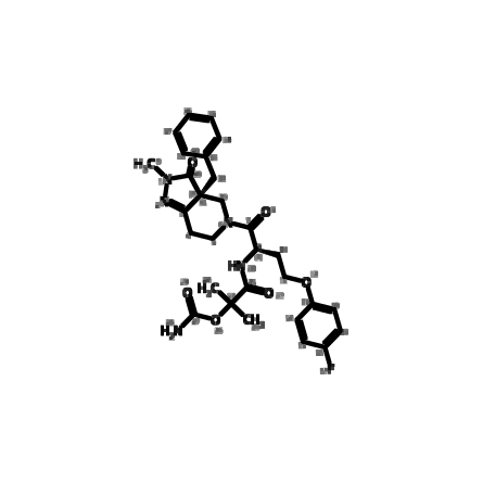 CN1N=C2CCN(C(=O)[C@@H](CCOc3ccc(F)cc3)NC(=O)C(C)(C)OC(N)=O)C[C@@]2(Cc2ccccc2)C1=O